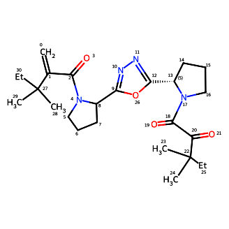 C=C(C(=O)N1CCCC1c1nnc([C@@H]2CCCN2C(=O)C(=O)C(C)(C)CC)o1)C(C)(C)CC